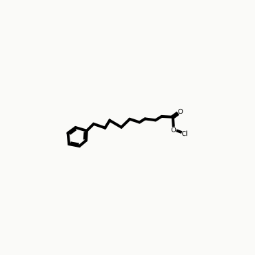 O=C(CCCCCCCCCc1ccccc1)OCl